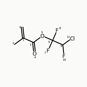 C=C(C)C(=O)OC(F)(F)C(F)Cl